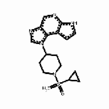 C=S(=O)(C1CC1)N1CCC(n2cnc3cnc4[nH]ccc4c32)CC1